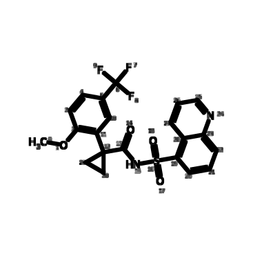 COc1ccc(C(F)(F)F)cc1C1(C(=O)NS(=O)(=O)c2cccc3ncccc23)CC1